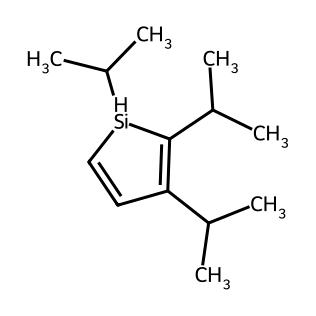 CC(C)C1=C(C(C)C)[SiH](C(C)C)C=C1